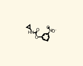 O=C(NC1CC1)Oc1cccc([N+](=O)[O-])c1